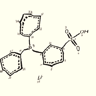 O=S(=O)(O)c1cccc(P(c2ccccc2)c2ccccc2)c1.[Li]